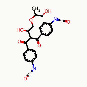 CC(CO)OCC(O)C(C(=O)c1ccc(N=C=O)cc1)C(=O)c1ccc(N=C=O)cc1